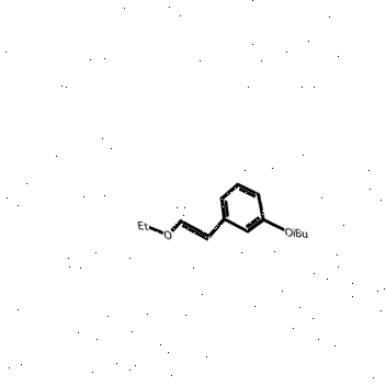 CCOC=Cc1cccc(OCC(C)C)c1